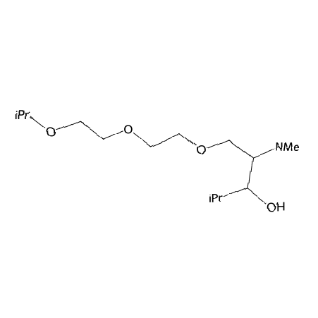 CNC(COCCOCCOC(C)C)C(O)C(C)C